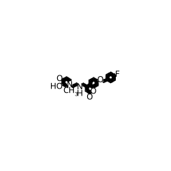 Cc1c(O)c(=O)ccn1CCNCc1cc(=O)oc2cc(OCc3ccc(F)cc3)ccc12